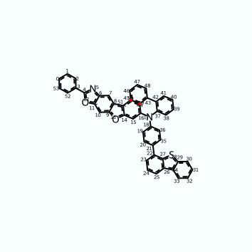 c1ccc(-c2nc3cc4c(cc3o2)oc2cc(N(c3ccc(-c5cccc6c5sc5ccccc56)cc3)c3ccccc3-c3ccccc3)ccc24)cc1